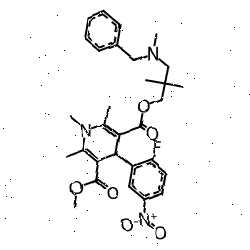 COC(=O)C1=C(C)N(C)C(C)=C(C(=O)OCC(C)(C)CN(C)Cc2ccccc2)C1c1cc([N+](=O)[O-])ccc1F